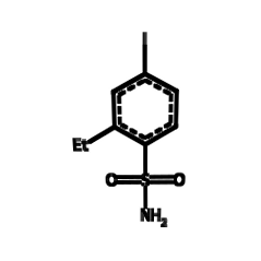 CCc1cc(I)ccc1S(N)(=O)=O